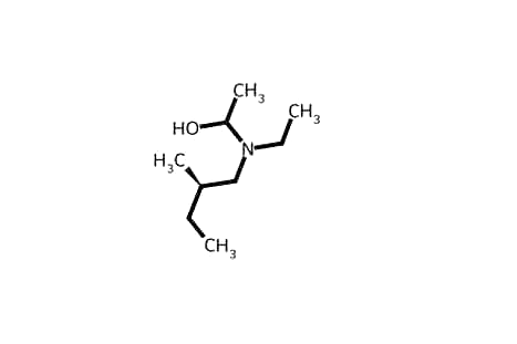 CC[C@@H](C)CN(CC)C(C)O